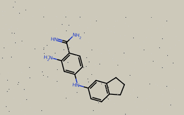 N=C(N)c1ccc(Nc2ccc3c(c2)CCC3)cc1N